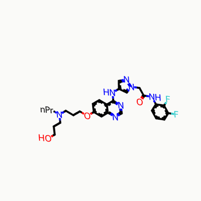 CCCN(CCCO)CCCOc1ccc2c(Nc3cnn(CC(=O)Nc4cccc(F)c4F)c3)ncnc2c1